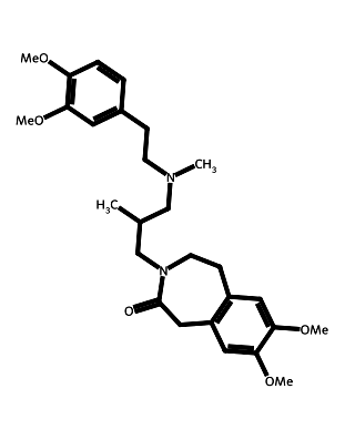 COc1ccc(CCN(C)CC(C)CN2CCc3cc(OC)c(OC)cc3CC2=O)cc1OC